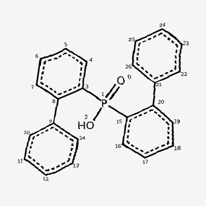 O=P(O)(c1ccccc1-c1ccccc1)c1ccccc1-c1ccccc1